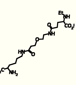 CCNC(CCC(=O)NCCOCCC(=O)NCCCCC(N)C(=O)O)C(=O)O